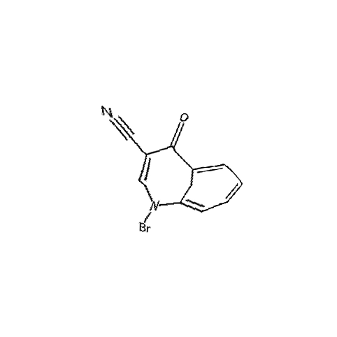 N#Cc1cn(Br)c2ccccc2c1=O